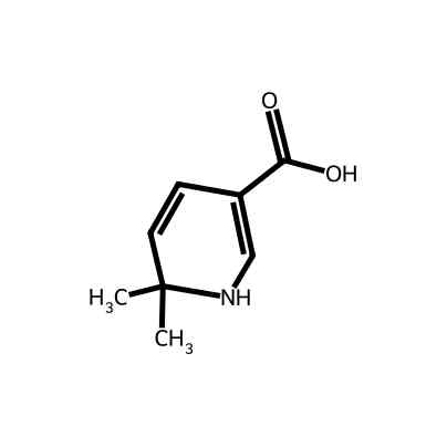 CC1(C)C=CC(C(=O)O)=CN1